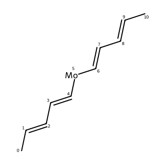 CC=CC=[CH][Mo][CH]=CC=CC